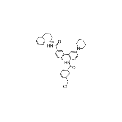 O=C(Nc1ccc(N2CCCCC2)cc1-c1cc(C(=O)N[C@H]2CCCc3ccccc32)ccn1)c1cccc(CCl)c1